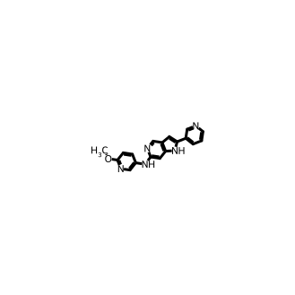 COc1ccc(Nc2cc3[nH]c(-c4cccnc4)cc3cn2)cn1